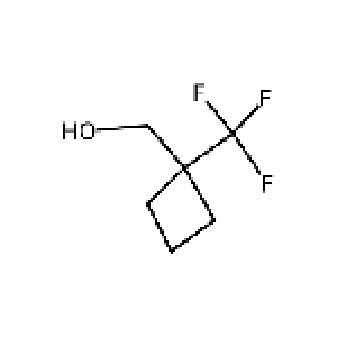 OCC1(C(F)(F)F)CCC1